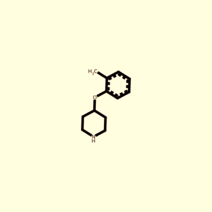 Cc1[c]cccc1OC1CCNCC1